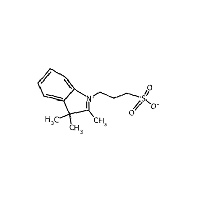 CC1=[N+](CCCS(=O)(=O)[O-])c2ccccc2C1(C)C